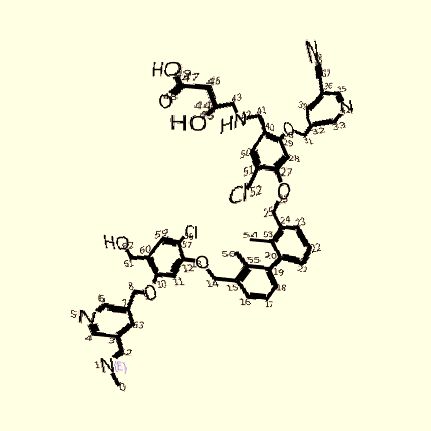 C/N=C/c1cncc(COc2cc(OCc3cccc(-c4cccc(COc5cc(OCc6cncc(C#N)c6)c(CNCC(O)CC(=O)O)cc5Cl)c4C)c3C)c(Cl)cc2CO)c1